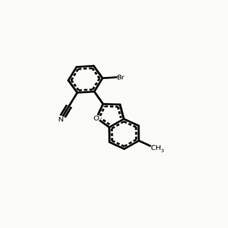 Cc1ccc2oc(-c3c(Br)cccc3C#N)cc2c1